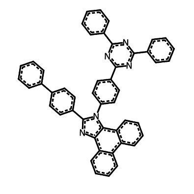 c1ccc(-c2ccc(-c3nc4c5ccccc5c5ccccc5c4n3-c3ccc(-c4nc(-c5ccccc5)nc(-c5ccccc5)n4)cc3)cc2)cc1